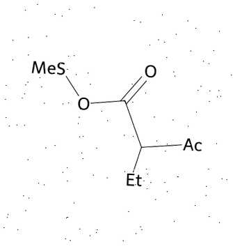 CCC(C(C)=O)C(=O)OSC